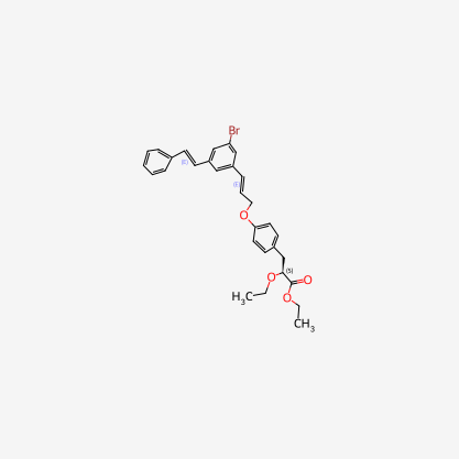 CCOC(=O)[C@H](Cc1ccc(OC/C=C/c2cc(Br)cc(/C=C/c3ccccc3)c2)cc1)OCC